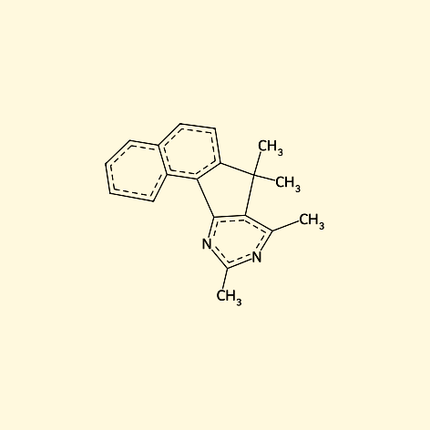 Cc1nc(C)c2c(n1)-c1c(ccc3ccccc13)C2(C)C